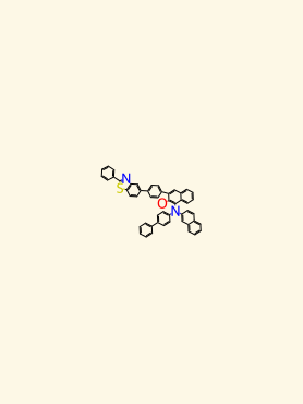 c1ccc(-c2ccc(N(c3ccc4ccccc4c3)c3c4ccccc4cc4c3oc3cc(-c5ccc6sc(-c7ccccc7)nc6c5)ccc34)cc2)cc1